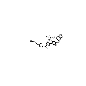 CC(C)Nc1cc(Nc2ccc3ncsc3c2)ncc1-c1nc(C(=O)N2CCN(CCC#N)CC2)cs1